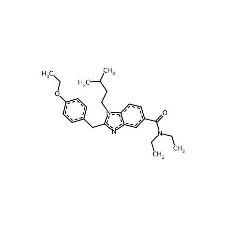 CCOc1ccc(Cc2nc3cc(C(=O)N(CC)CC)ccc3n2CCC(C)C)cc1